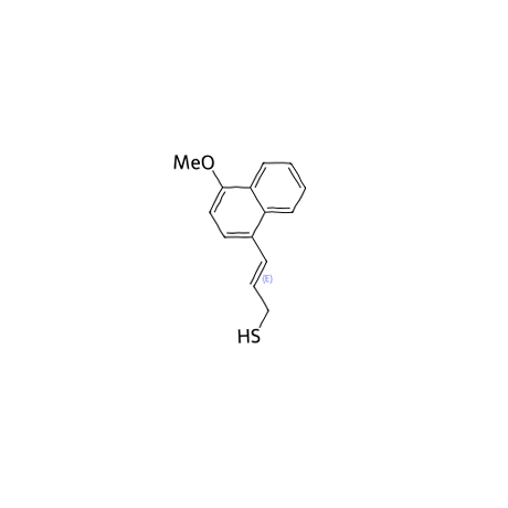 COc1ccc(/C=C/CS)c2ccccc12